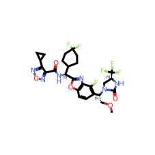 COC[C@H](c1ccc2oc([C@@H](NC(=O)c3nonc3C3CC3)C3CCC(F)(F)CC3)nc2c1F)N1C[C@@H](C(F)(F)F)NC1=O